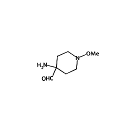 CON1CCC(N)(C=O)CC1